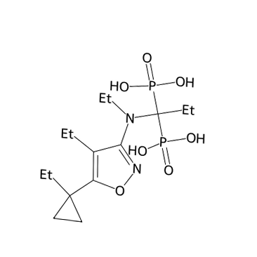 CCc1c(N(CC)C(CC)(P(=O)(O)O)P(=O)(O)O)noc1C1(CC)CC1